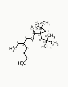 CCCCC(CC)COC(=O)C1(CC(C)(C)C)CC1(C)C